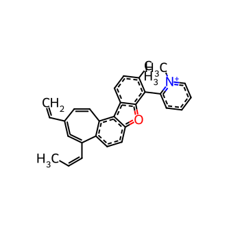 C=CC1=C=C(/C=C\C)c2ccc3oc4c(-c5cccc[n+]5C)c(C)ccc4c3c2C=C1